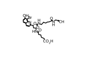 C#CCNC(=O)CCCCCNC(=O)OC(CCNC(=O)CCCCC(=O)O)c1ccc2ccc(O)c(Br)c2n1